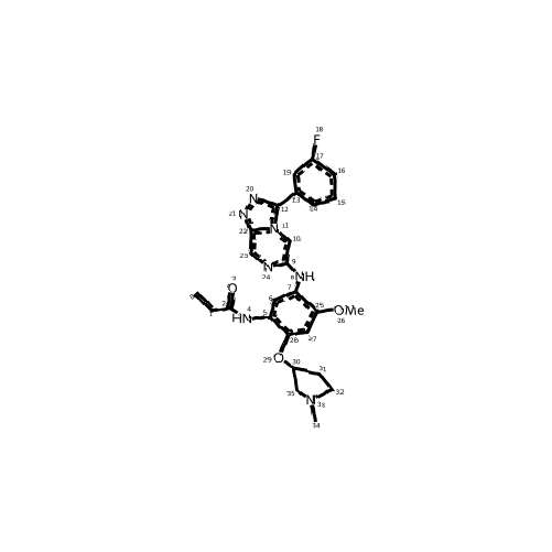 C=CC(=O)Nc1cc(Nc2cn3c(-c4cccc(F)c4)nnc3cn2)c(OC)cc1OC1CCN(C)C1